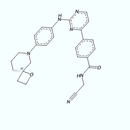 N#CCNC(=O)c1ccc(-c2ccnc(Nc3ccc(N4CCC[C@]5(CCO5)C4)cc3)n2)cc1